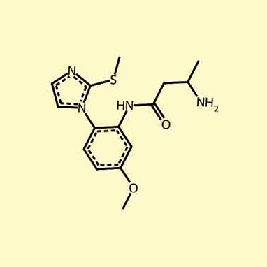 COc1ccc(-n2ccnc2SC)c(NC(=O)CC(C)N)c1